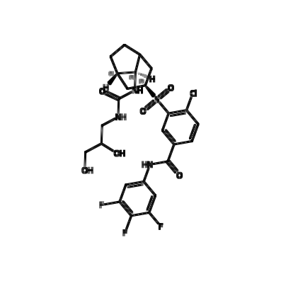 O=C(NCC(O)CO)N[C@@H]1C2CC[C@H]1C[C@H](S(=O)(=O)c1cc(C(=O)Nc3cc(F)c(F)c(F)c3)ccc1Cl)C2